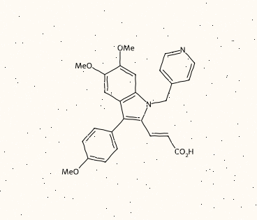 COc1ccc(-c2c(C=CC(=O)O)n(Cc3ccncc3)c3cc(OC)c(OC)cc23)cc1